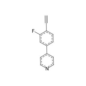 C#Cc1ccc(-c2ccncc2)cc1F